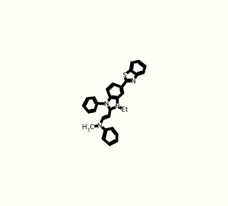 CCN1c2cc(-c3nc4ccccc4s3)ccc2N(c2ccccc2)C1C=CN(C)c1ccccc1